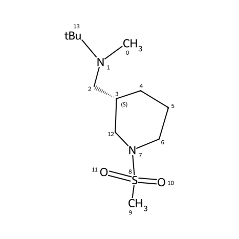 CN(C[C@@H]1CCCN(S(C)(=O)=O)C1)C(C)(C)C